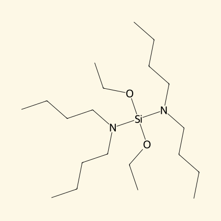 CCCCN(CCCC)[Si](OCC)(OCC)N(CCCC)CCCC